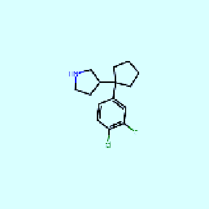 Clc1ccc(C2(C3CCNC3)CCCC2)cc1Cl